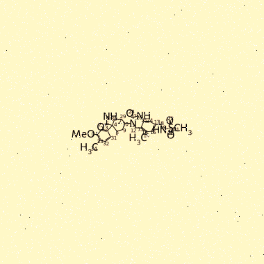 COc1cc(C2(C(N)=O)CCC(N3Cc4c(C)cc(CNS(C)(=O)=O)cc4NC3=O)CC2)ccc1C